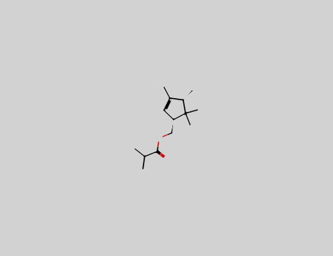 CC1=C[C@H](COC(=O)C(C)C)C(C)(C)[C@@H]1C